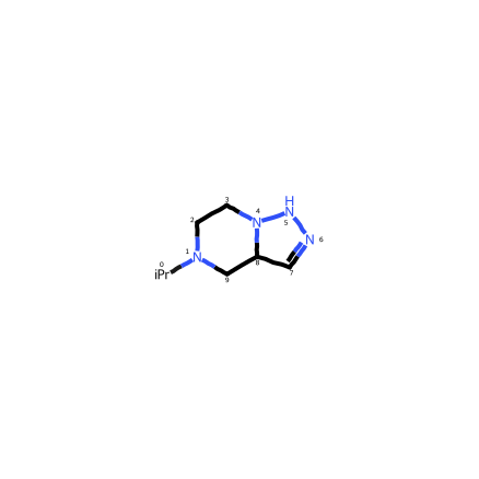 CC(C)N1CCN2NN=CC2C1